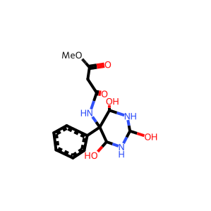 COC(=O)CC(=O)NC1(c2ccccc2)C(O)NC(O)NC1O